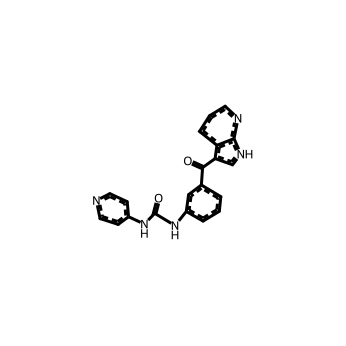 O=C(Nc1ccncc1)Nc1cccc(C(=O)c2c[nH]c3ncccc23)c1